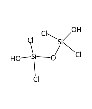 O[Si](Cl)(Cl)O[Si](O)(Cl)Cl